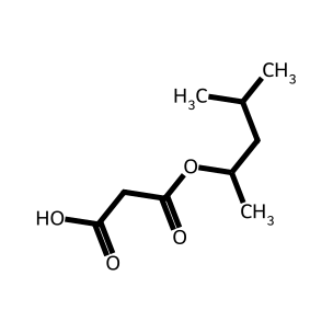 CC(C)CC(C)OC(=O)CC(=O)O